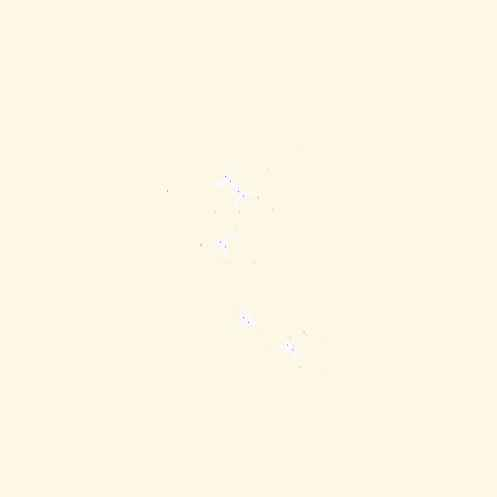 CCOC(=O)c1nn(-c2cccc(Cl)c2)c2c1CCN(c1ccc(N(C)C(=O)CN3CCCC3)cc1)C2=O